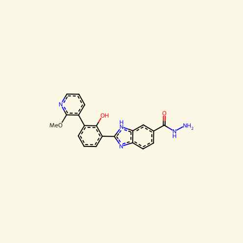 COc1ncccc1-c1cccc(-c2nc3ccc(C(=O)NN)cc3[nH]2)c1O